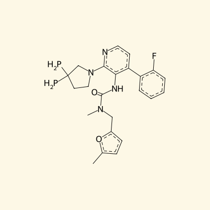 Cc1ccc(CN(C)C(=O)Nc2c(-c3ccccc3F)ccnc2N2CCC(P)(P)C2)o1